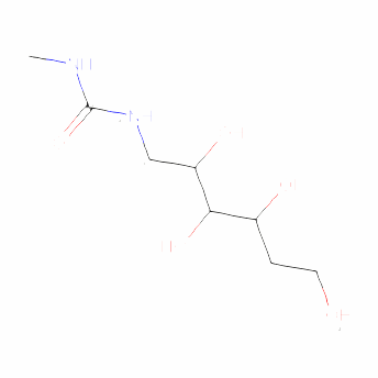 CNC(=O)NCC(O)C(O)C(O)CCO